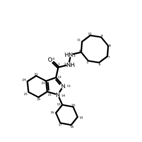 O=C(NNC1CCCCCCC1)c1nn(C2CCCCC2)c2c1CCCC2